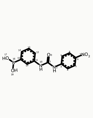 O=C(Nc1ccc([N+](=O)[O-])cc1)Nc1cccc(B(O)O)c1